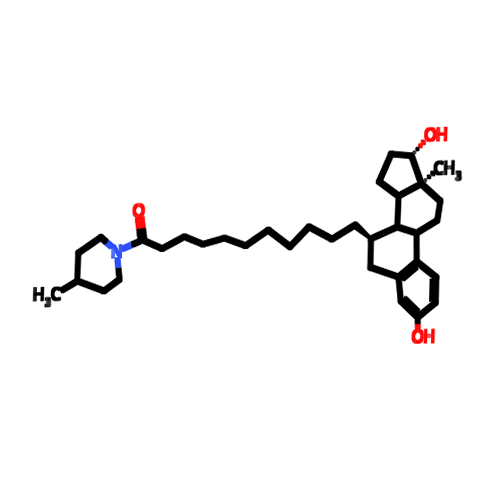 CC1CCN(C(=O)CCCCCCCCCC[C@@H]2Cc3cc(O)ccc3C3CC[C@@]4(C)C(CC[C@@H]4O)C32)CC1